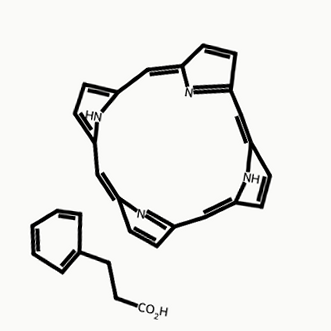 C1=Cc2cc3ccc(cc4nc(cc5ccc(cc1n2)[nH]5)C=C4)[nH]3.O=C(O)CCc1ccccc1